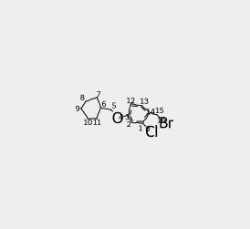 Clc1cc(OCC2CCCCC2)ccc1CBr